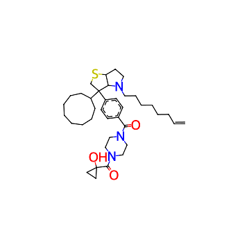 C=CCCCCCCN1CCC2SCC(c3ccc(C(=O)N4CCN(C(=O)C5(O)CC5)CC4)cc3)(C3CCCCCCCC3)C21